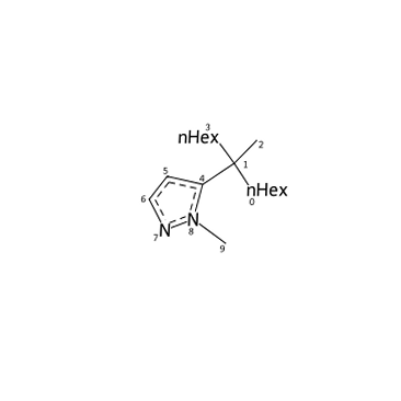 CCCCCCC(C)(CCCCCC)c1ccnn1C